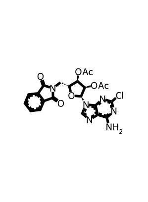 CC(=O)O[C@@H]1[C@H](OC(C)=O)[C@@H](CN2C(=O)c3ccccc3C2=O)O[C@H]1n1cnc2c(N)nc(Cl)nc21